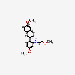 COCCNc1cc(OC)ccc1C1CCc2cc(OC)ccc2C1